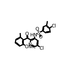 COc1cccc(C)c1C(=O)c1ncc(Cl)cc1NS(=O)(=O)c1ccc(Cl)c(C)c1